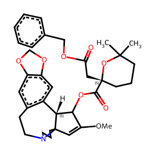 COC1=CC23CCCN2CCc2cc4c(cc2[C@@H]3C1OC(=O)[C@@]1(CC(=O)OCc2ccccc2)CCCC(C)(C)O1)OCO4